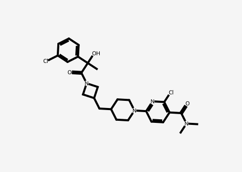 CN(C)C(=O)c1ccc(N2CCC(CC3CN(C(=O)C(C)(O)c4cccc(Cl)c4)C3)CC2)nc1Cl